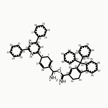 N=C(OC(N)C1=CCC(c2cc(-c3ccccc3)nc(-c3ccccc3)n2)C=C1)C1=CC2=C(CC1)c1ccccc1C2(c1ccccc1)c1ccccc1